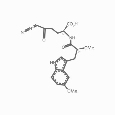 COc1ccc2[nH]cc(C[C@H](OC)C(=O)N[C@@H](CCC(=O)C=[N+]=[N-])C(=O)O)c2c1